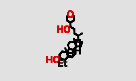 CC[C@]1(O)CC[C@@]2(C)C(=CC[C@H]3[C@@H]4CC[C@H]([C@H](C)CC[C@H](O)C5CCOCC5)[C@@]4(C)CC[C@@H]32)C1